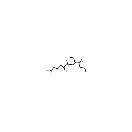 CCCC(=O)C(CC)CC(C)C(=O)CCCN(C)C